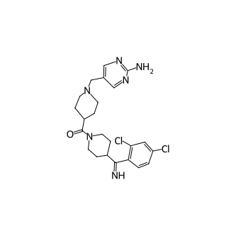 N=C(c1ccc(Cl)cc1Cl)C1CCN(C(=O)C2CCN(Cc3cnc(N)nc3)CC2)CC1